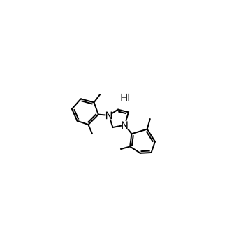 Cc1cccc(C)c1N1C=CN(c2c(C)cccc2C)C1.I